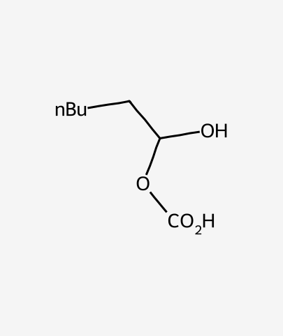 CCCCCC(O)OC(=O)O